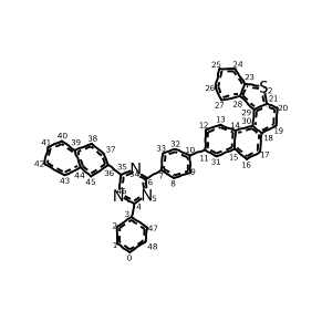 c1ccc(-c2nc(-c3ccc(-c4ccc5c(ccc6ccc7sc8ccccc8c7c65)c4)cc3)nc(-c3ccc4ccccc4c3)n2)cc1